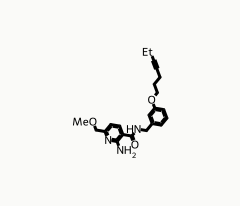 CCC#CCCCOc1cccc(CNC(=O)c2ccc(COC)nc2N)c1